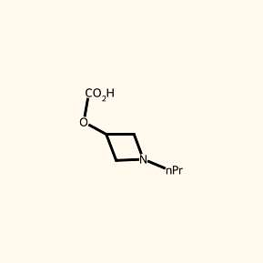 [CH2]CCN1CC(OC(=O)O)C1